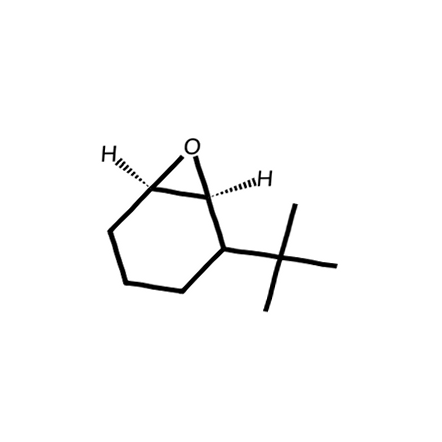 CC(C)(C)C1CCC[C@H]2O[C@@H]12